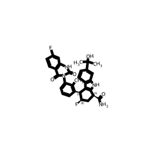 Cc1c([C@H]2c3c([nH]c4cc(C(C)(C)O)ccc34)[C@@H](C(N)=O)C[C@H]2F)cccc1-n1c(=O)[nH]c2cc(F)ccc2c1=O